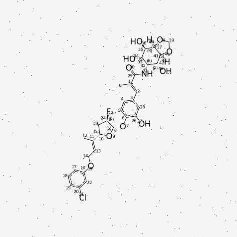 CC(=Cc1ccc(O[C@@H]2O[C@H](C(C)=CCOc3cccc(Cl)c3)C[C@H]2F)c(O)c1)C(=O)N[C@@H]1[C@H](O)[C@@H](O)[C@H]2OCO[C@H]2[C@@H]1O